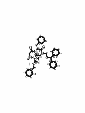 CN1CC(=O)N2[C@@H](Cc3ccccc3)C(=O)N(CCC(c3ccccc3)c3ccccc3)C[C@@H]2N1C(=O)NCc1ccccc1